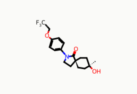 C[C@]1(O)CC[C@]2(CCN(c3ccc(OCC(F)(F)F)cc3)C2=O)CC1